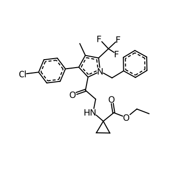 CCOC(=O)C1(NCC(=O)c2c(-c3ccc(Cl)cc3)c(C)c(C(F)(F)F)n2Cc2ccccc2)CC1